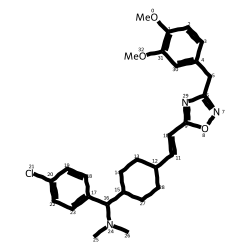 COc1ccc(Cc2noc(/C=C/C3CCC(C(c4ccc(Cl)cc4)N(C)C)CC3)n2)cc1OC